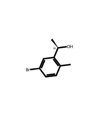 Cc1ccc(Br)cc1[C@@H](C)O